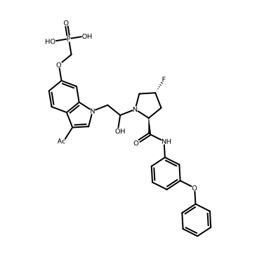 CC(=O)c1cn(CC(O)N2C[C@H](F)C[C@H]2C(=O)Nc2cccc(Oc3ccccc3)c2)c2cc(OCP(=O)(O)O)ccc12